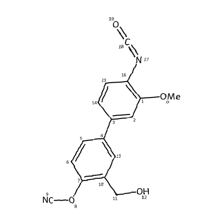 COc1cc(-c2ccc(OC#N)c(CO)c2)ccc1N=C=O